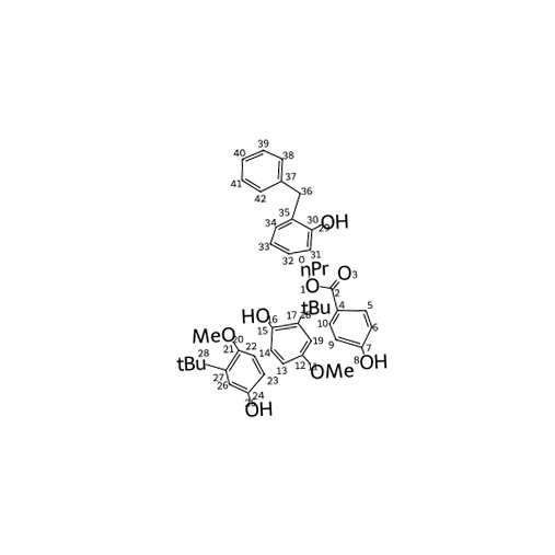 CCCOC(=O)c1ccc(O)cc1.COc1ccc(O)c(C(C)(C)C)c1.COc1ccc(O)cc1C(C)(C)C.Oc1ccccc1Cc1ccccc1